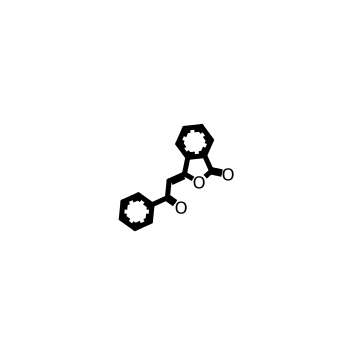 O=C(C=C1OC(=O)c2ccccc21)c1ccccc1